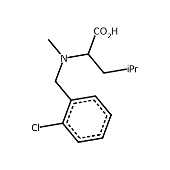 CC(C)CC(C(=O)O)N(C)Cc1ccccc1Cl